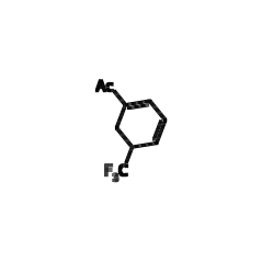 CC(=O)C1=CC=CC(C(F)(F)F)C1